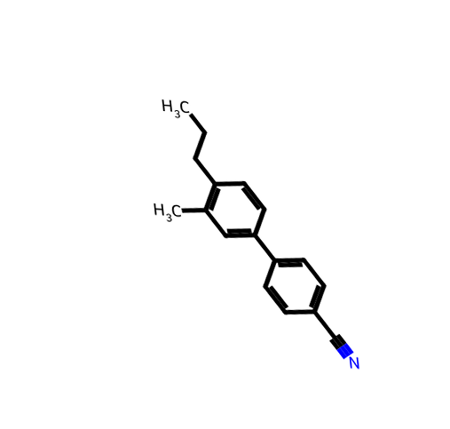 CCCc1ccc(-c2ccc(C#N)cc2)cc1C